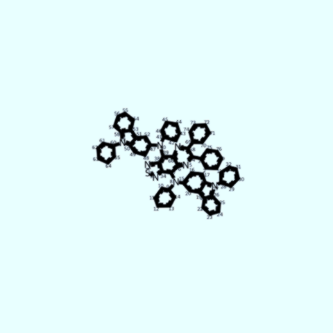 c1ccc(-c2nc3c(N(c4ccccc4)c4ccc5c(c4)c4ccccc4n5-c4ccccc4)c4nsnc4c(N(c4ccccc4)c4ccc5c(c4)c4ccccc4n5-c4ccccc4)c3nc2-c2ccccc2)cc1